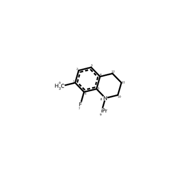 Cc1ccc2c(c1F)N(C(C)C)CCC2